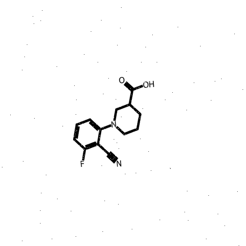 N#Cc1c(F)cccc1N1CCCC(C(=O)O)C1